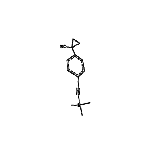 C[Si](C)(C)C#Cc1ccc(C2(C#N)CC2)cc1